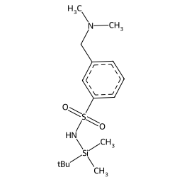 CN(C)Cc1cccc(S(=O)(=O)N[Si](C)(C)C(C)(C)C)c1